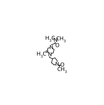 CC(=O)N1CCC(CN2CCN(CC(=O)N(C)C)C[C@@H]2C)CC1